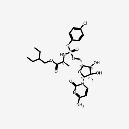 CCC(CC)COC(=O)[C@H](C)NP(=O)(OC[C@H]1O[C@@H](n2ccc(N)nc2=O)[C@](C)(O)[C@@H]1O)Oc1ccc(Cl)cc1